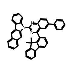 CC1(C)c2ccccc2-c2cccc(-c3nc(-n4c5ccccc5c5cc6ccccc6cc54)nc4ccc(-c5ccccc5)cc34)c21